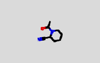 CC(=O)N1CCCCC1C#N